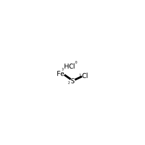 Cl.Cl[S][Fe]